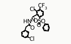 O=C(Cc1cccc(Cl)c1)NN=Cc1c(S(=O)(=O)Oc2ccccc2)ccc(C(F)(F)F)c1Cl